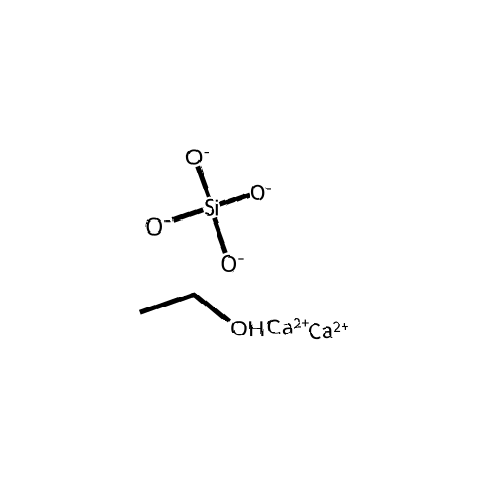 CCO.[Ca+2].[Ca+2].[O-][Si]([O-])([O-])[O-]